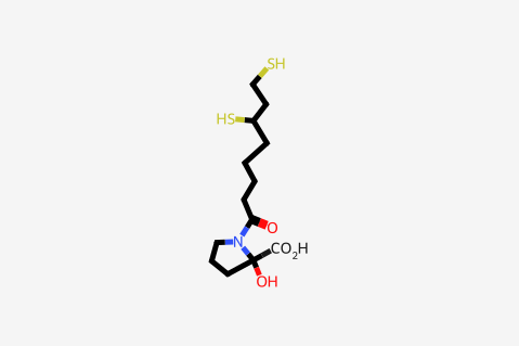 O=C(CCCCC(S)CCS)N1CCCC1(O)C(=O)O